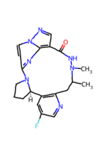 CC1Cc2ncc(F)cc2[C@H]2CCCN2c2ccn3ncc(c3n2)C(=O)NN1C